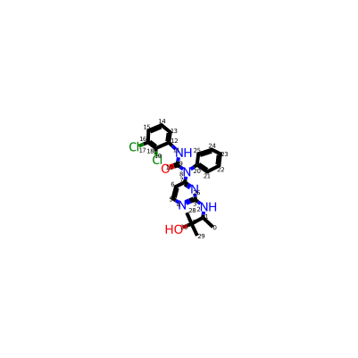 CC(Nc1nccc(N(C(=O)Nc2cccc(Cl)c2Cl)c2ccccc2)n1)C(C)(C)O